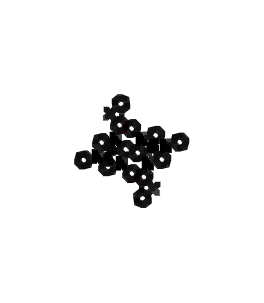 CC1(C)c2ccccc2-c2ccc(N3c4cccc5c4P4(=S)c6c(cccc6N(c6ccccc6)c6c4c3cc3c4c7c(cc63)N(c3ccc6c(c3)C(C)(C)c3ccccc3-6)c3cccc6c3P7(=S)c3c(cccc3N4c3ccccc3)N6c3ccccc3)N5c3ccccc3)cc21